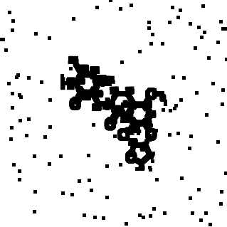 COc1cc(O[C@@H]2CCOC2)c(Cl)c2c1CCN(Cc1c(C)cc(C)[nH]c1=O)C2=O